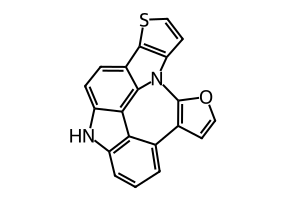 c1cc2[nH]c3ccc4c5sccc5n5c6occc6c(c1)c2c3c45